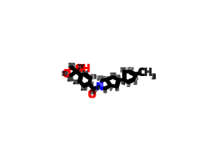 Cc1ccc(C2=CC3CN(C(=O)c4ccc(C5(O)COC5)cc4)CC3C2)cc1